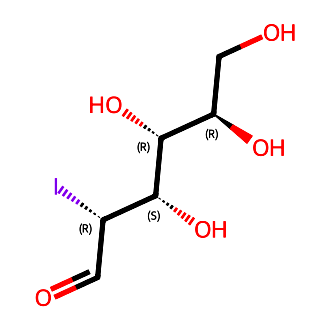 O=C[C@H](I)[C@@H](O)[C@H](O)[C@H](O)CO